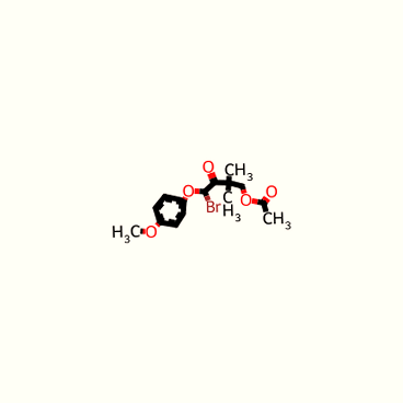 COc1ccc(OC(Br)C(=O)C(C)(C)COC(C)=O)cc1